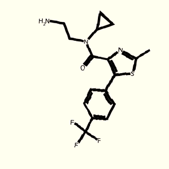 Cc1nc(C(=O)N(CCN)C2CC2)c(-c2ccc(C(F)(F)F)cc2)s1